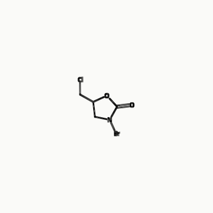 O=C1OC(CCl)CN1Br